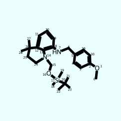 COc1ccc(CNc2cccc3c2N(CO[Si](C)(C)C(C)(C)C)CCC3(C)C)cc1